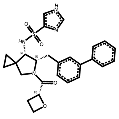 O=C([C@H]1CCO1)N1CC2(CC2)[C@H](NS(=O)(=O)c2c[nH]cn2)[C@@H]1Cc1cccc(-c2ccccc2)c1